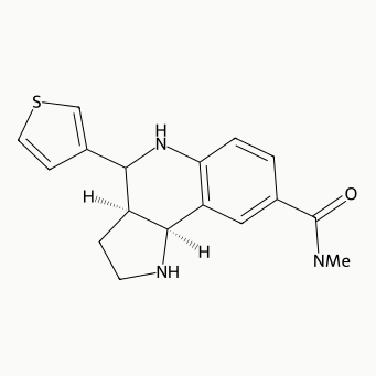 CNC(=O)c1ccc2c(c1)[C@H]1NCC[C@H]1C(c1ccsc1)N2